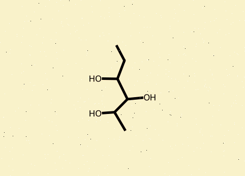 CCC(O)C(O)[C](C)O